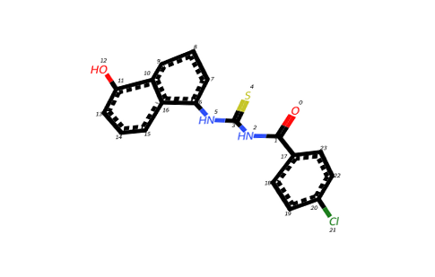 O=C(NC(=S)Nc1cccc2c(O)cccc12)c1ccc(Cl)cc1